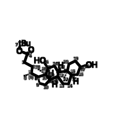 C[C@H](CCC(=O)OC(C)(C)C)[C@H]1CC[C@H]2[C@@H]3CC[C@@H]4C[C@H](O)CC[C@]4(C)[C@H]3C[C@H](O)[C@]12C